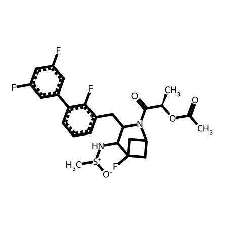 CC(=O)O[C@H](C)C(=O)N1C2CC(F)(C2)C(N[S+](C)[O-])C1Cc1cccc(-c2cc(F)cc(F)c2)c1F